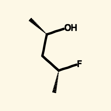 C[C@H](O)C[C@@H](C)F